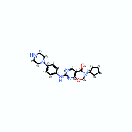 O=C1c2cnc(Nc3ccc(N4CCNCC4)cc3)nc2OCN1C1CCCC1